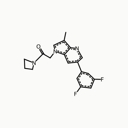 Cc1cn(CC(=O)N2CCC2)c2cc(-c3cc(F)cc(F)c3)cnc12